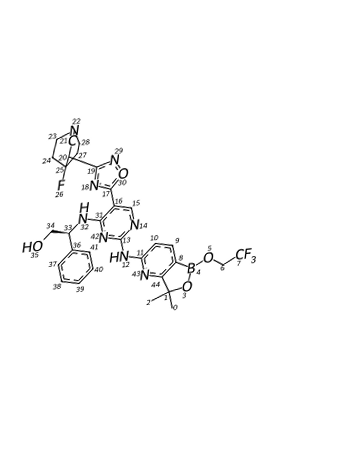 CC1(C)OB(OCC(F)(F)F)c2ccc(Nc3ncc(-c4nc(C5CN6CCC5(F)CC6)no4)c(N[C@H](CO)c4ccccc4)n3)nc21